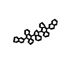 c1ccc2cc(-c3c4ccccc4c(-c4ccc(-c5c6ccccc6c(-c6ccc7ccccc7c6)c6ccccc56)c5ccccc45)c4ccccc34)ccc2c1